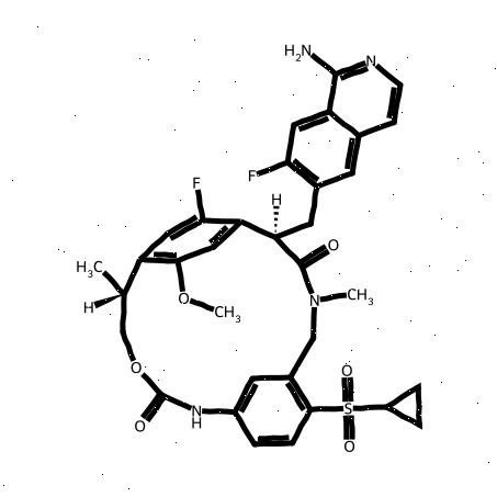 COc1cc2c(F)cc1[C@@H](C)COC(=O)Nc1ccc(S(=O)(=O)C3CC3)c(c1)CN(C)C(=O)[C@@H]2Cc1cc2ccnc(N)c2cc1F